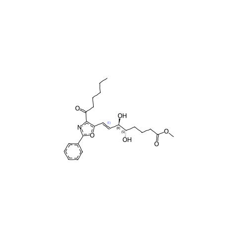 CCCCCC(=O)c1nc(-c2ccccc2)oc1/C=C/[C@@H](O)[C@@H](O)CCCC(=O)OC